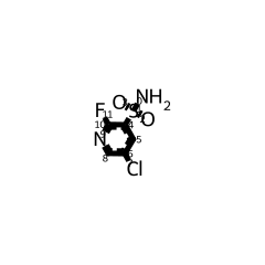 NS(=O)(=O)c1cc(Cl)cnc1F